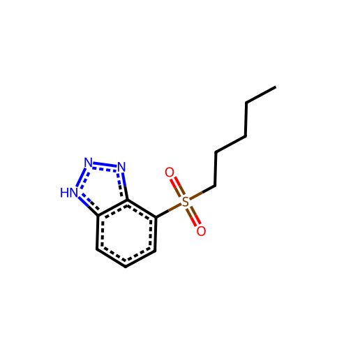 CCCCCS(=O)(=O)c1cccc2[nH]nnc12